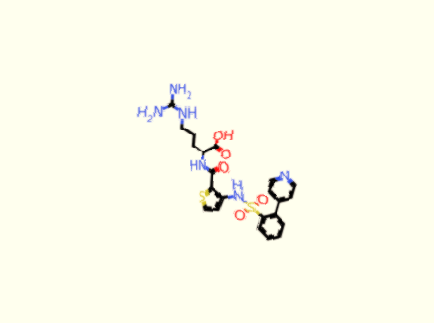 NC(N)NCCC[C@H](NC(=O)c1sccc1NS(=O)(=O)c1ccccc1-c1ccncc1)C(=O)O